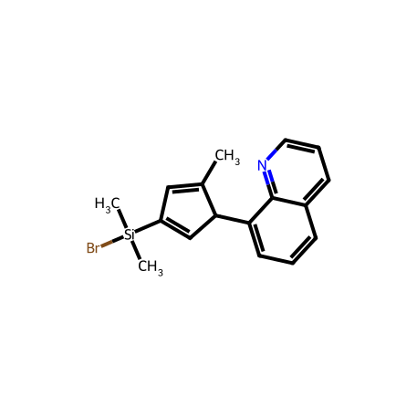 CC1=CC([Si](C)(C)Br)=C[C]1c1cccc2cccnc12